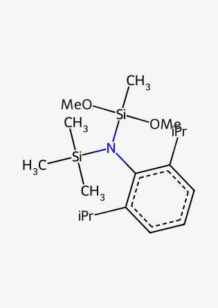 CO[Si](C)(OC)N(c1c(C(C)C)cccc1C(C)C)[Si](C)(C)C